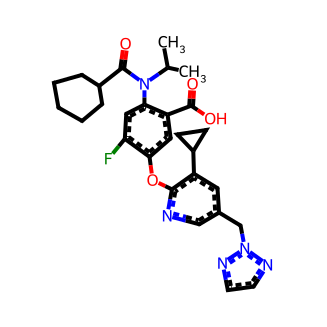 CC(C)N(C(=O)C1CCCCC1)c1cc(F)c(Oc2ncc(Cn3nccn3)cc2C2CC2)cc1C(=O)O